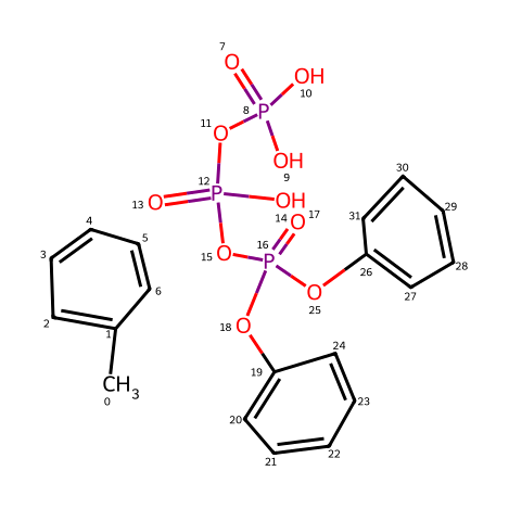 Cc1ccccc1.O=P(O)(O)OP(=O)(O)OP(=O)(Oc1ccccc1)Oc1ccccc1